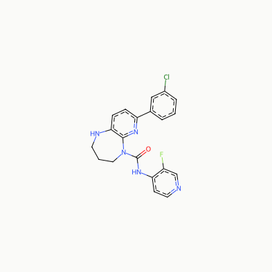 O=C(Nc1ccncc1F)N1CCCNc2ccc(-c3cccc(Cl)c3)nc21